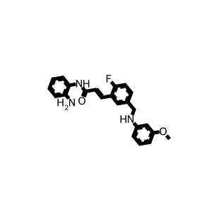 COc1cccc(NCc2ccc(F)c(/C=C/C(=O)Nc3ccccc3N)c2)c1